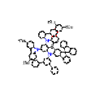 CC(C)(C)c1cc(-c2ccc3c(c2)N(c2ccccc2-c2ccccc2)c2cc(-n4c5ccc(C(C)(C)C)cc5c5cc(C(C)(C)C)ccc54)cc4c2B3c2cc3c(cc2N4c2cc(-c4ccccc4)cc(-c4ccccc4)c2)-c2ccccc2C32c3ccccc3-c3ccccc32)cc(C(C)(C)C)c1